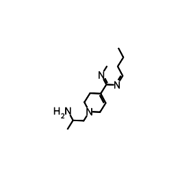 CCC/C=N\C(=N/C)C1=CCN(CC(C)N)CC1